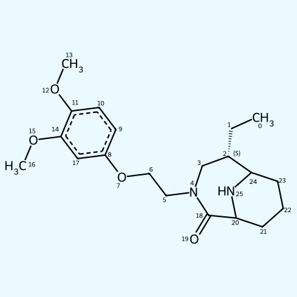 CC[C@H]1CN(CCOc2ccc(OC)c(OC)c2)C(=O)C2CCCC1N2